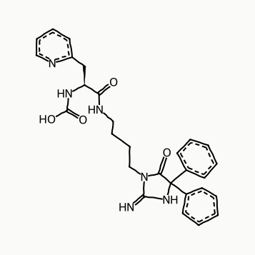 N=C1NC(c2ccccc2)(c2ccccc2)C(=O)N1CCCCNC(=O)[C@H](Cc1ccccn1)NC(=O)O